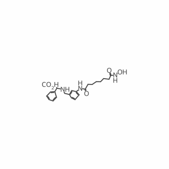 O=C(CCCCCCC(=O)Nc1cccc(CNC(C(=O)O)c2ccccc2)c1)NO